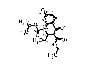 CCOC(=O)C1C(=O)c2ccc(C)nc2N(C(=O)OC(C)C)C1CC